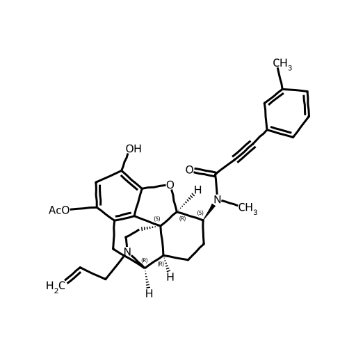 C=CCN1CC[C@]23c4c5c(OC(C)=O)cc(O)c4O[C@H]2[C@@H](N(C)C(=O)C#Cc2cccc(C)c2)CC[C@H]3[C@H]1C5